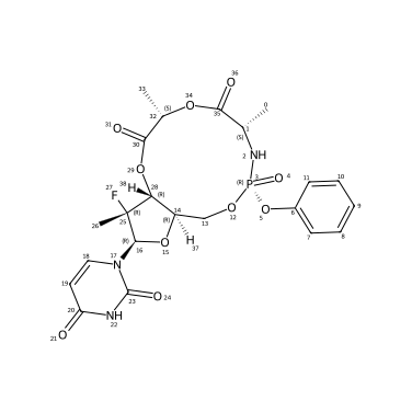 C[C@@H]1N[P@](=O)(Oc2ccccc2)OC[C@H]2O[C@@H](n3ccc(=O)[nH]c3=O)[C@](C)(F)[C@@H]2OC(=O)[C@H](C)OC1=O